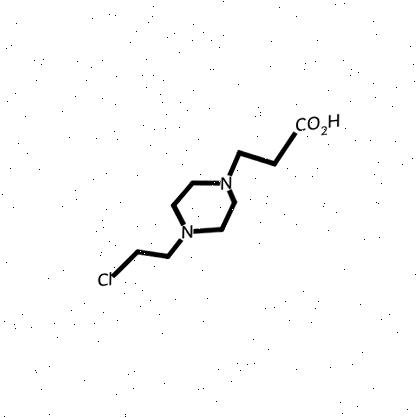 O=C(O)CCN1CCN(CCCl)CC1